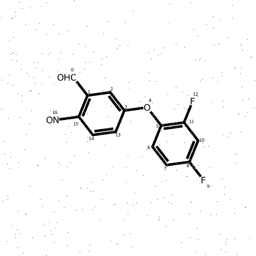 O=Cc1cc(Oc2ccc(F)cc2F)ccc1N=O